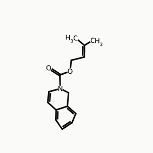 CC(C)=CCOC(=O)N1C=Cc2ccccc2C1